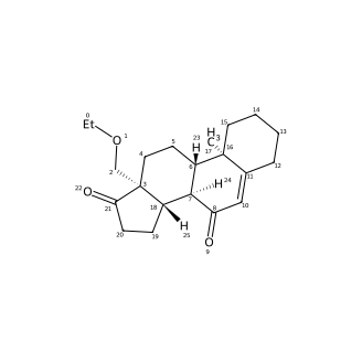 CCOC[C@]12CC[C@H]3[C@@H](C(=O)C=C4CCCC[C@@]43C)[C@@H]1CCC2=O